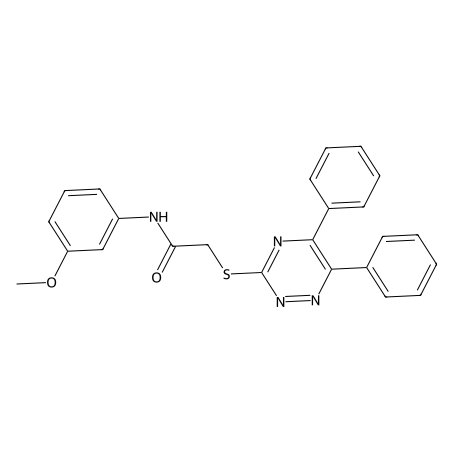 COc1cccc(NC(=O)CSc2nnc(-c3ccccc3)c(-c3ccccc3)n2)c1